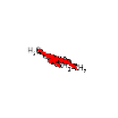 C=CC(=O)OCCCCCCOc1ccc(OC(=O)C2CCC(COc3ccc(OCC4CCC(C(=O)Oc5ccc(OCCCCCCOC(=O)C=C)cc5)CC4)c(/C=N/N(CCOCOC(=O)C=C)c4nc5ccccc5s4)c3)CC2)cc1